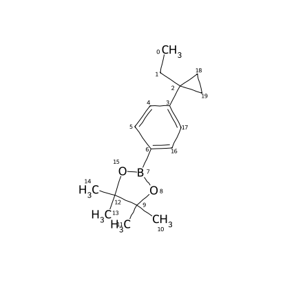 CCC1(c2ccc(B3OC(C)(C)C(C)(C)O3)cc2)CC1